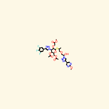 COC(=O)COC1C(SC(C)COCC(O)n2cc(-c3cnc(OC)nc3)nn2)OC(COC(C)=O)C(OC(C)=O)C1n1cc(-c2cc(F)c(F)c(F)c2)nn1